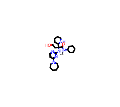 CCN(C(=O)C(CCO)(Nc1nccc(N2CCCCCC2)n1)C1CCCCN1)C1CCCCC1